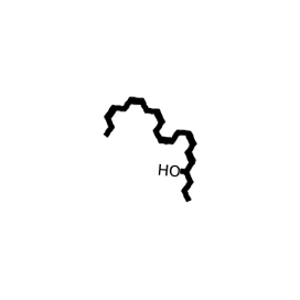 CC/C=C\C/C=C\C/C=C\C/C=C\C/C=C\C=C\C(O)CCC